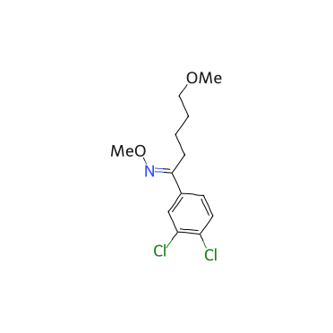 COCCCCC(=NOC)c1ccc(Cl)c(Cl)c1